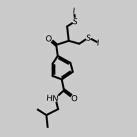 CC(C)CNC(=O)c1ccc(C(=O)C(CSI)CSI)cc1